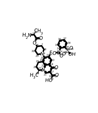 C[C@H](N)C(=O)OC1CCN(c2c(F)cc3c(=O)c(C(=O)O)cn4c3c2CC[C@@H]4C)CC1.O=[N+]([O-])c1ccccc1S(=O)(=O)O